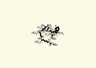 C/C(=C\C(C(C)C)N(C)C(=O)C(NC(=O)C(N(C)C(=O)OC(C)(C)C)C(C)(C)c1cn(C)c2ccc(F)cc12)C(C)(C)C)C(=O)NC(CCC(=O)NC(CCCCNC(=O)OC(C)(C)C)C(=O)O)C(=O)O